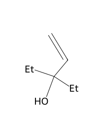 C=CC(O)(CC)CC